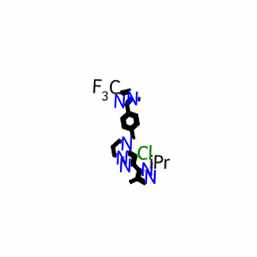 Cc1cnn(C(C)C)c1-c1nn2c(c1Cl)N(Cc1ccc(-c3nc(C(F)(F)F)cn3C)cc1)CCC2